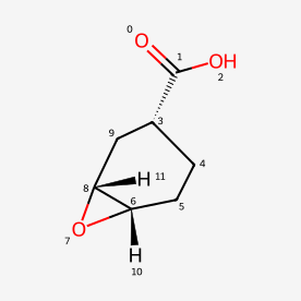 O=C(O)[C@@H]1CC[C@@H]2O[C@@H]2C1